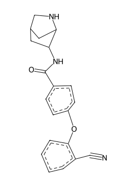 N#Cc1ccccc1Oc1ccc(C(=O)NC2CC3CNC2C3)cc1